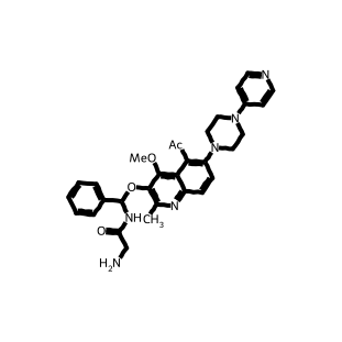 COc1c(OC(NC(=O)CN)c2ccccc2)c(C)nc2ccc(N3CCN(c4ccncc4)CC3)c(C(C)=O)c12